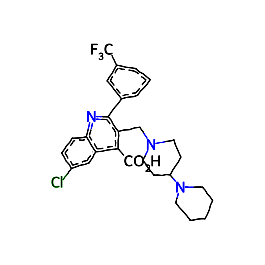 O=C(O)c1c(CN2CCC(N3CCCCC3)CC2)c(-c2cccc(C(F)(F)F)c2)nc2ccc(Cl)cc12